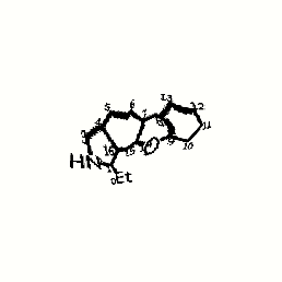 CCC1NCC2C=CC3C4=C(CCC=C4)OC3C21